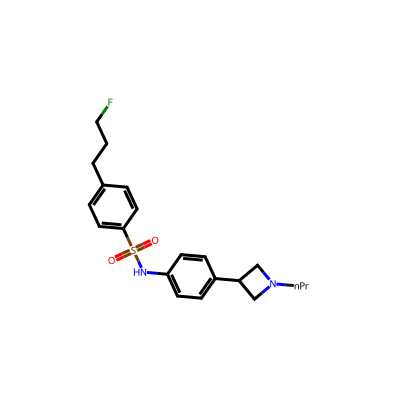 CCCN1CC(c2ccc(NS(=O)(=O)c3ccc(CCCF)cc3)cc2)C1